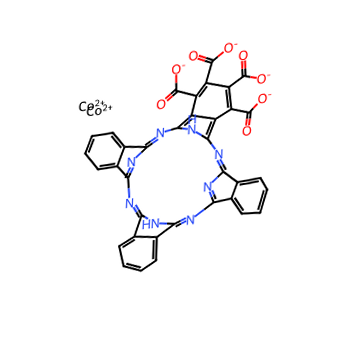 O=C([O-])c1c(C(=O)[O-])c(C(=O)[O-])c2c3nc4nc(nc5[nH]c(nc6nc(nc([nH]3)c2c1C(=O)[O-])-c1ccccc1-6)c1ccccc51)-c1ccccc1-4.[Co+2].[Co+2]